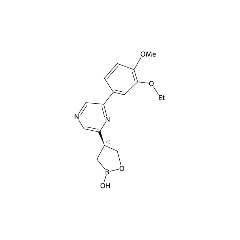 CCOc1cc(-c2cncc([C@H]3COB(O)C3)n2)ccc1OC